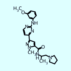 COc1cccc(Nc2nccc(-c3cc(C(=O)NC(C)CN4CCCC4)n(C)n3)n2)c1